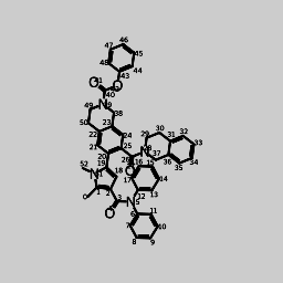 Cc1c(C(=O)N(c2ccccc2)c2ccccc2)cc(-c2cc3c(cc2C(=O)N2CCc4ccccc4C2)CN(C(=O)Oc2ccccc2)CC3)n1C